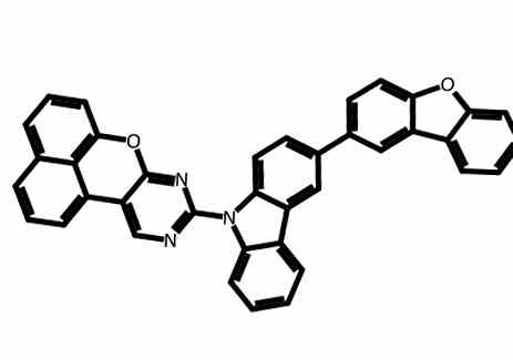 c1cc2c3c(cccc3c1)-c1cnc(-n3c4ccccc4c4cc(-c5ccc6oc7ccccc7c6c5)ccc43)nc1O2